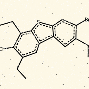 CCc1cc2c(cc1Br)sc1c(CC)c(Cl)c(CC)cc12